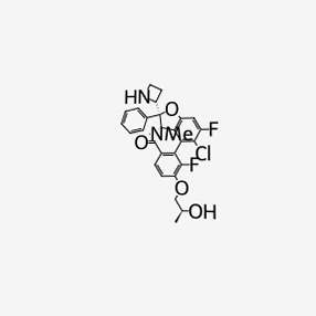 CNC(=O)c1ccc(OC[C@H](C)O)c(F)c1-c1c(Cl)c(F)cc2c1[C@H](C)[C@](c1ccccc1)(C1CCN1)O2